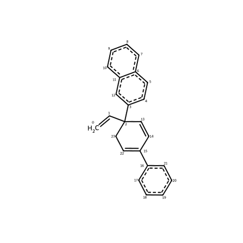 C=CC1(c2ccc3ccccc3c2)C=CC(c2ccccc2)=CC1